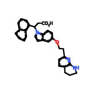 O=C(O)CC(c1cccc2ccccc12)n1ccc2cc(OCCc3ccc4c(n3)NCCC4)ccc21